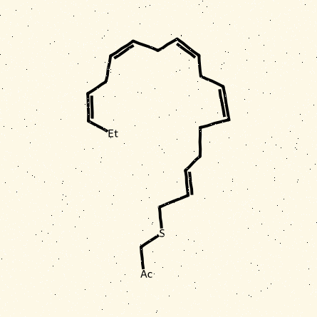 CC/C=C\C/C=C\C/C=C\C/C=C\CC/C=C/CSCC(C)=O